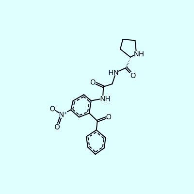 O=C(CNC(=O)[C@@H]1CCCN1)Nc1ccc([N+](=O)[O-])cc1C(=O)c1ccccc1